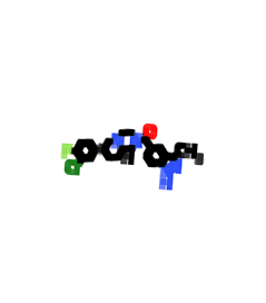 Cc1n[nH]c2ccc(C(=O)N3CCN4C[C@@H](c5ccc(F)c(Cl)c5)CC[C@@H]4C3)cc12